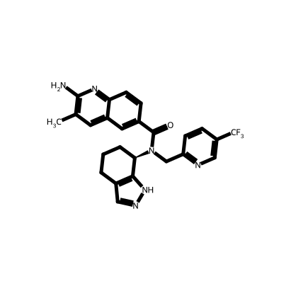 Cc1cc2cc(C(=O)N(Cc3ccc(C(F)(F)F)cn3)[C@@H]3CCCc4cn[nH]c43)ccc2nc1N